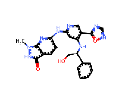 Cn1[nH]c(=O)c2ccc(Nc3cc(N[C@H](CO)c4ccccc4)c(-c4ncno4)cn3)nc21